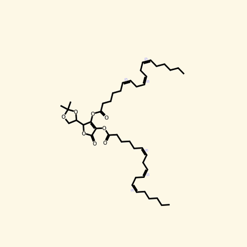 CCCCC/C=C\C/C=C\C/C=C\CCCCC(=O)OC1=C(OC(=O)CCCC/C=C\C/C=C\C/C=C\CCCCC)C(C2COC(C)(C)O2)OC1=O